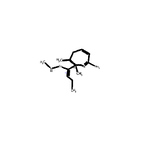 CC/C=C(/ONC)[C@@]1(C)N=C(N)C=CCC1C